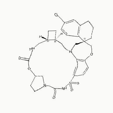 O=C1NC[C@@H]2CC[C@H]2CN2C[C@@]3(CCCc4cc(Cl)ccc43)COc3ccc(cc32)S(=O)(=O)NC(=O)N2CCC(C2)O1